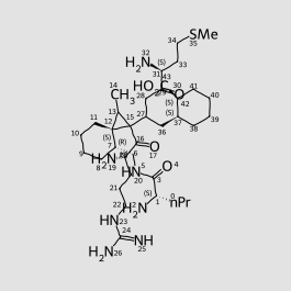 CCC[C@H](N)C(=O)NC[C@@H]1CCCC[C@]12C(C)C2(C(=O)[C@@H](N)CCCNC(=N)N)C(CC(=O)[C@@H](N)CCSC)C[C@@H]1CCCC[C@@H]1C(=O)O